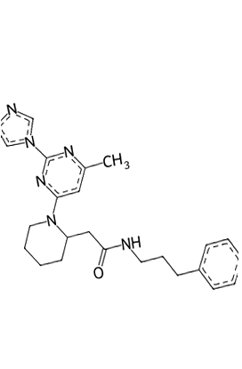 Cc1cc(N2CCCCC2CC(=O)NCCCc2ccccc2)nc(-n2ccnc2)n1